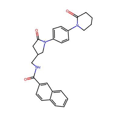 O=C(NCC1CC(=O)N(c2ccc(N3CCCCC3=O)cc2)C1)c1ccc2ccccc2c1